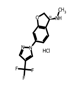 CN[C@@H]1COc2cc(-n3cc(C(F)(F)F)cn3)ccc21.Cl